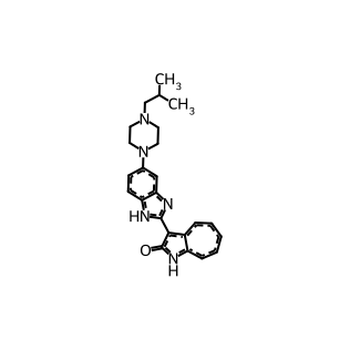 CC(C)CN1CCN(c2ccc3[nH]c(-c4c5cccccc-5[nH]c4=O)nc3c2)CC1